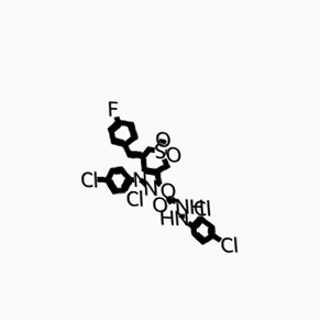 O=C(NNc1ccc(Cl)cc1Cl)Oc1nn(-c2ccc(Cl)cc2Cl)c2c1CS(=O)(=O)C/C2=C\c1ccc(F)cc1